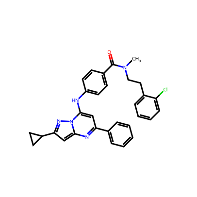 CN(CCc1ccccc1Cl)C(=O)c1ccc(Nc2cc(-c3ccccc3)nc3cc(C4CC4)nn23)cc1